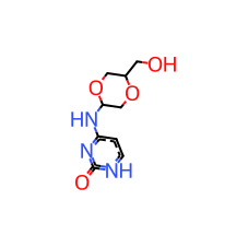 O=c1nc(NC2COC(CO)CO2)cc[nH]1